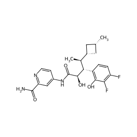 C[C@@H]([C@H]1C[C@@H](C)C1)[C@H](c1ccc(F)c(F)c1O)[C@@H](O)C(=O)Nc1ccnc(C(N)=O)c1